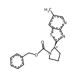 Cc1cnc2nc([C@H]3CCCN3C(=O)OCc3ccccc3)sc2c1